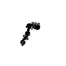 Cc1ccc(C(=O)N(N)C(=O)c2c(C)cccc2Cl)cc1C#Cc1ccc(NC(=O)CCN2CCN(C)CC2)nc1